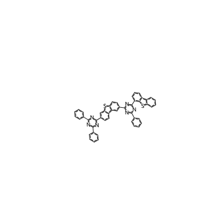 c1ccc(-c2nc(-c3ccccc3)nc(-c3ccc4c(c3)sc3ccc(-c5nc(-c6ccccc6)nc(-c6cccc7c6sc6ccccc67)n5)cc34)n2)cc1